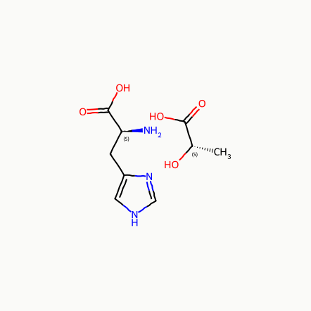 C[C@H](O)C(=O)O.N[C@@H](Cc1c[nH]cn1)C(=O)O